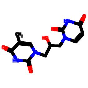 Cc1cn(CC(O)Cn2ccc(=O)[nH]c2=O)c(=O)[nH]c1=O